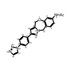 CC(=O)Nc1ccc2c(c1)OCc1cc(-c3ccc(-n4ccnn4)cc3)nn1C2